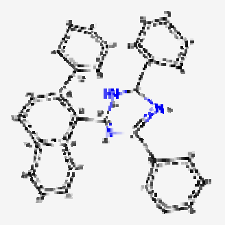 c1ccc(C2=NC(c3ccccc3)NC(c3c(-c4ccccc4)ccc4ccccc34)=N2)cc1